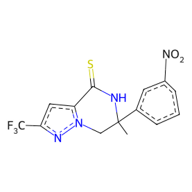 CC1(c2cccc([N+](=O)[O-])c2)Cn2nc(C(F)(F)F)cc2C(=S)N1